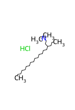 CCCCCCCCCCCCCCCC(CCC)CCN(C)C.Cl